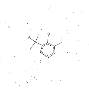 Cc1cccc(C(F)(F)I)c1Cl